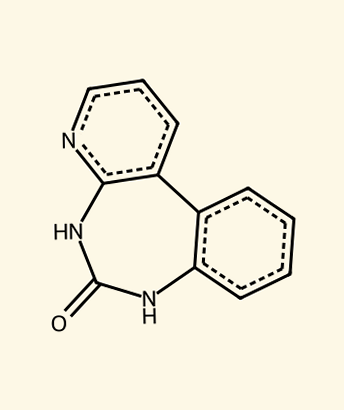 O=C1Nc2ccccc2-c2cccnc2N1